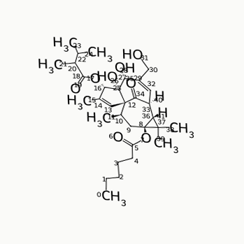 CCCCCC(=O)O[C@@]12C[C@@H](C)[C@]34C=C(C)[C@H](OC(=O)C(C)C(C)C)[C@@]3(O)[C@H](O)C(CO)=C[C@H](C4=O)[C@@H]1C2(C)C